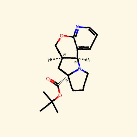 CC(C)(C)OC(=O)[C@@]12CCCN1[C@@H]1c3cccnc3OC[C@@H]1C2